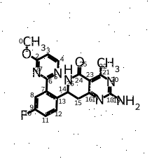 COc1ccnc(-c2cc(F)ccc2C2Cc3nc(N)nc(C)c3C(=O)N2)n1